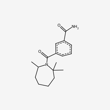 CC1CCCCC(C)(C)N1C(=O)c1cccc(C(N)=O)c1